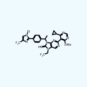 CCn1cc(C(F)(F)F)nc1-c1ccc(C(C)n2c(=N)n(CC(F)(F)F)c3cnc(-c4c(OC)ncnc4C4CC4)nc32)cc1